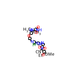 CCOc1cc([C@@H](CC#N)N2C(=O)c3ccnc(N4CCN([C@H]5CCN(Cc6ccc(Oc7ccc8c([C@@]9(C)CCC(=O)NC9=O)nn(C)c8c7)cc6)CC5(F)F)CC4)c3C2=O)ccc1OC